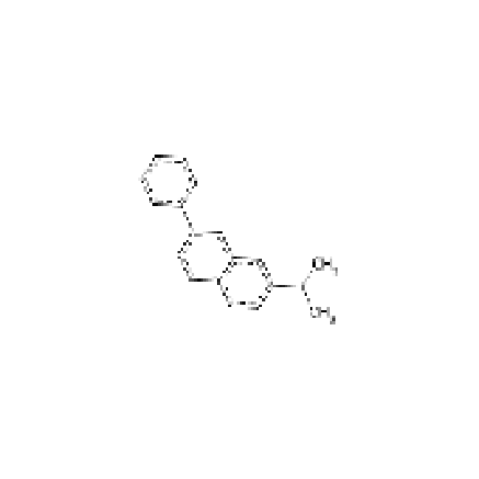 CC(C)c1ccc2ccc(-c3ccccc3)cc2c1